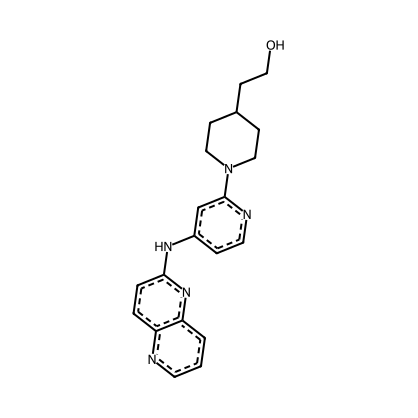 OCCC1CCN(c2cc(Nc3ccc4ncccc4n3)ccn2)CC1